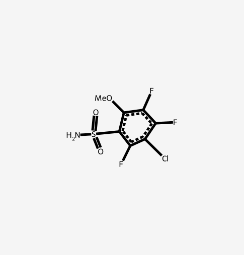 COc1c(F)c(F)c(Cl)c(F)c1S(N)(=O)=O